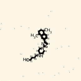 C[C@@H]1CC[C@H](C)c2cc(-c3csc(N4CCC(NCCCCO)CC4)n3)ccc21